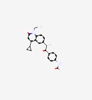 CCn1c(=O)cc(C2CC2)c2cc([C@@H](I)C(=O)c3ccc(NC(C)=O)cc3)ccc21